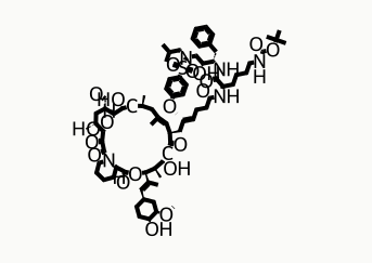 COc1ccc(S(=O)(=O)N(CC(C)C)C[C@@H](O)[C@H](Cc2ccccc2)NC(=O)C(CCCCNC(=O)OC(C)(C)C)NC(=O)CC/C=C/C[C@@H]2/C=C(\C)C[C@H](C)C[C@H](O)[C@H]3O[C@@](O)(C(=O)C(=O)N4CCCC[C@H]4C(=O)O[C@H](/C(C)=C/[C@@H]4CC[C@@H](O)[C@H](OC)C4)[C@H](C)[C@@H](O)CC2=O)[C@H](C)C[C@@H]3C=O)cc1